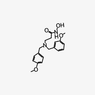 COc1ccc(CN(CCC(=O)NO)Cc2cccc(OC)c2)cc1